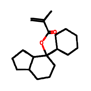 C=C(C)C(=O)OC1(C2CCCCC2)CCCC2CCCC21